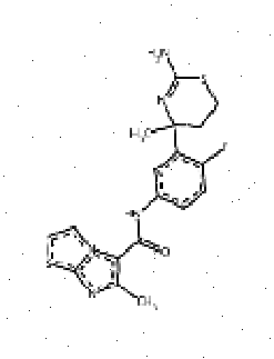 Cc1nc2sccn2c1C(=O)Nc1ccc(F)c(C2(C)CCSC(N)=N2)c1